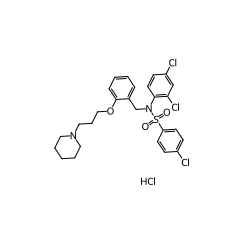 Cl.O=S(=O)(c1ccc(Cl)cc1)N(Cc1ccccc1OCCCN1CCCCC1)c1ccc(Cl)cc1Cl